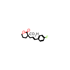 O=C(O)[C@]1(C/C=C/c2ccc(F)cc2)CCCOC1=O